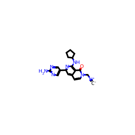 [C-]#[N+]Cn1ccc2cc(-c3cnc(N)nc3)nc(NC3CCCC3)c2c1=O